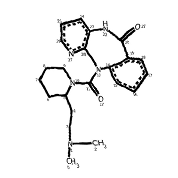 CN(C)CCC1CCCCN1C(=O)N1c2ccccc2C(=O)Nc2cccnc21